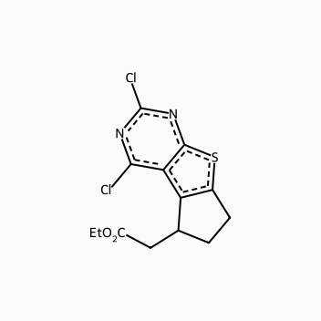 CCOC(=O)CC1CCc2sc3nc(Cl)nc(Cl)c3c21